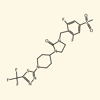 CS(=O)(=O)c1cc(F)c(CN2CCN(C3CCN(c4nnc(C(F)(F)F)s4)CC3)C2=O)c(F)c1